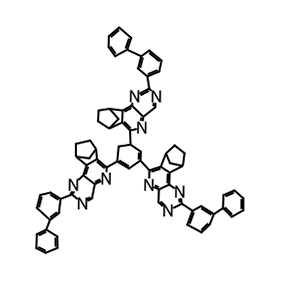 C1=C(c2nc3cnc(-c4cccc(-c5ccccc5)c4)nc3c3c2C2CCC3C2)C=C(c2nc3cnc(-c4cccc(-c5ccccc5)c4)nc3c3c2C2CCC3C2)CC1c1nc2cnc(-c3cccc(-c4ccccc4)c3)nc2c2c1C1CCC2C1